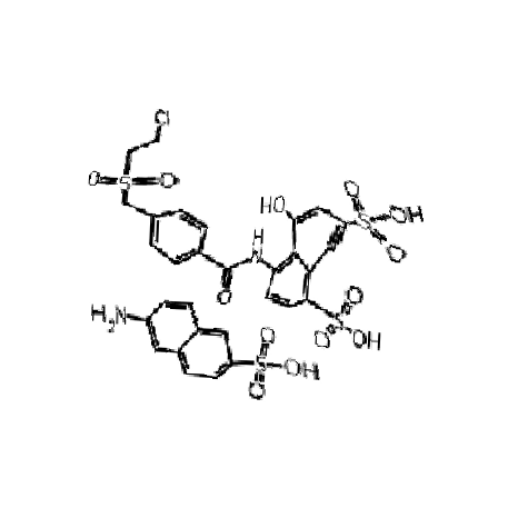 Nc1ccc2cc(S(=O)(=O)O)ccc2c1.O=C(Nc1ccc(S(=O)(=O)O)c2cc(S(=O)(=O)O)cc(O)c12)c1ccc(CS(=O)(=O)CCCl)cc1